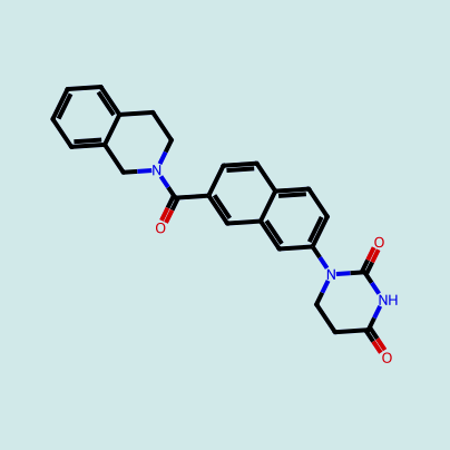 O=C1CCN(c2ccc3ccc(C(=O)N4CCc5ccccc5C4)cc3c2)C(=O)N1